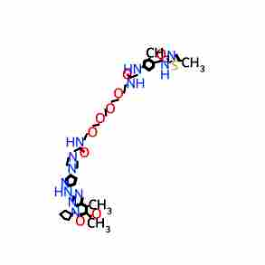 CC(=O)c1c(C)c2cnc(Nc3ccc(N4CCN(CC(=O)NCCOCCOCCOCCOCCNC(=O)CNc5ccc(C(=O)Nc6ncc(C)s6)c(C)c5)CC4)cn3)nc2n(C2CCCC2)c1=O